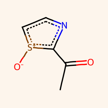 CC(=O)c1ncc[s+]1[O-]